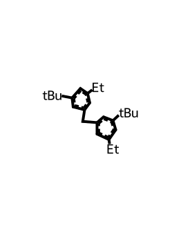 CCc1cc(Cc2cc(CC)cc(C(C)(C)C)c2)cc(C(C)(C)C)c1